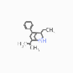 CCC1CNC2CC1C(c1ccccc1)CC2C(C)C